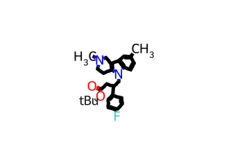 Cc1ccc2c(c1)c1c(n2CC(CC(=O)OC(C)(C)C)c2ccc(F)cc2)CCN(C)C1